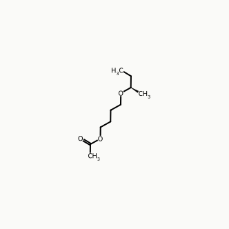 CC[C@@H](C)OCCCCOC(C)=O